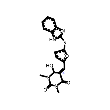 CN1C(=O)/C(=C/c2ccc(Sc3nc4ccccc4[nH]3)o2)C(O)N(C)C1=O